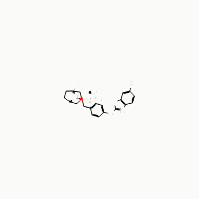 CS(=O)(=O)N[C@H]1C[C@H]2CC[C@@H](C1)N2CCc1ccc(Oc2nc3ccc(F)cc3s2)cc1